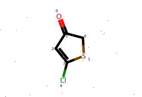 O=C1C=C(Cl)SC1